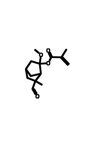 C=C(C)C(=O)OC1(OC)CC2CC1C(C)(C=O)C2